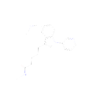 CNC.CNC(=O)CCCCc1cn(-c2cccnc2)c2ccccc12